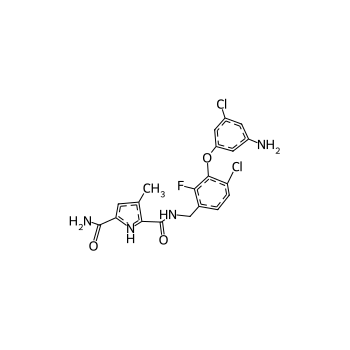 Cc1cc(C(N)=O)[nH]c1C(=O)NCc1ccc(Cl)c(Oc2cc(N)cc(Cl)c2)c1F